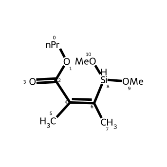 CCCOC(=O)C(C)=C(C)[SiH](OC)OC